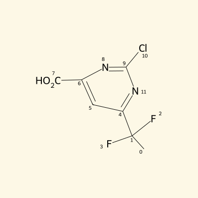 CC(F)(F)c1cc(C(=O)O)nc(Cl)n1